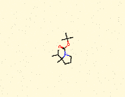 CC(C)C1(C)CCCN1C(=O)OC(C)(C)C